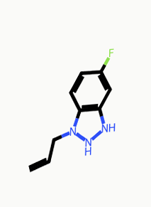 C=CCN1NNc2cc(F)ccc21